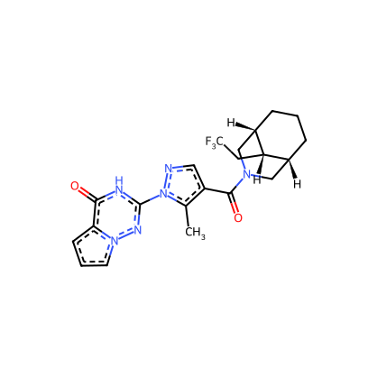 Cc1c(C(=O)N2C[C@H]3CCC[C@@H](C2)[C@H]3CC(F)(F)F)cnn1-c1nn2cccc2c(=O)[nH]1